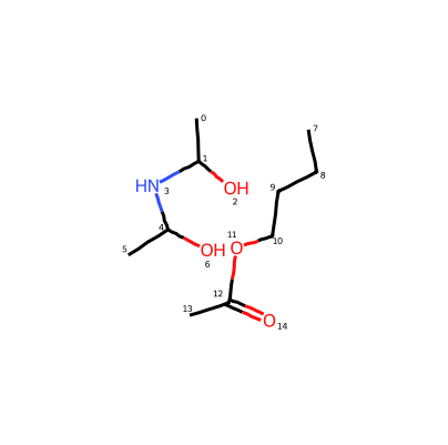 CC(O)NC(C)O.CCCCOC(C)=O